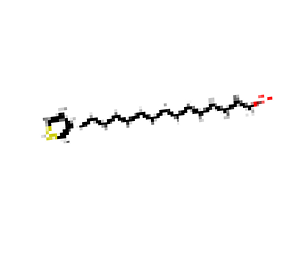 CCCCCCCCCCCCCCCO.c1ccsc1